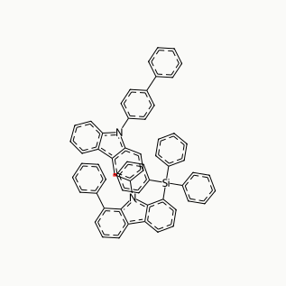 c1ccc(-c2ccc(-n3c4ccccc4c4cc(-n5c6c(-c7ccccc7)cccc6c6cccc([Si](c7ccccc7)(c7ccccc7)c7ccccc7)c65)ccc43)cc2)cc1